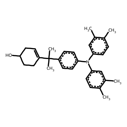 Cc1ccc(N(c2ccc(C(C)(C)C3=CCC(O)CC3)cc2)c2ccc(C)c(C)c2)cc1C